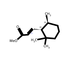 COC(=O)/C=C/[C@@H]1[C@@H](C)CCCC1(C)C